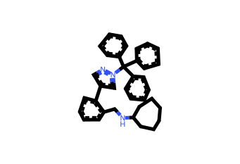 c1ccc(C(c2ccccc2)(c2ccccc2)n2cc(-c3ccccc3CNC3CCCCCC3)cn2)cc1